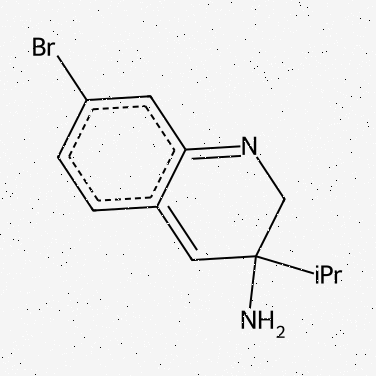 CC(C)C1(N)C=c2ccc(Br)cc2=NC1